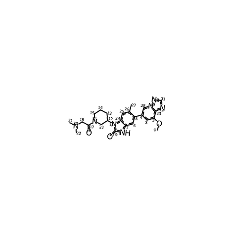 COc1cc(-c2cc3[nH]c(=O)n(C4CCCN(C(=O)CN(C)C)C4)c3cc2C)cn2ncnc12